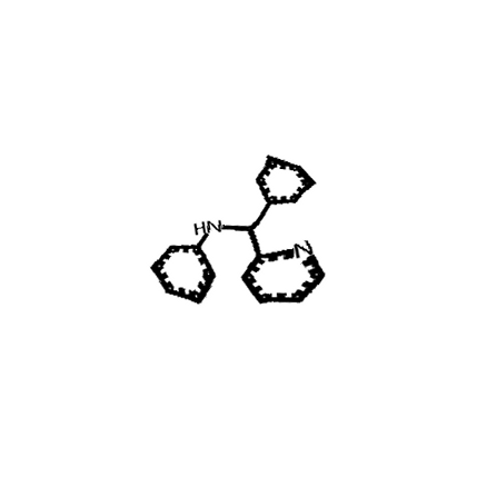 c1ccc(NC(c2ccccc2)c2ccccn2)cc1